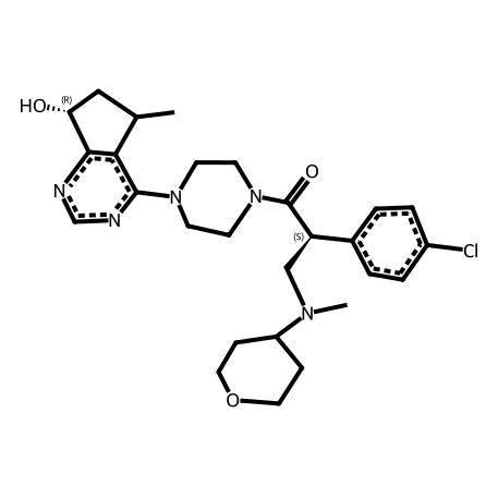 CC1C[C@@H](O)c2ncnc(N3CCN(C(=O)[C@H](CN(C)C4CCOCC4)c4ccc(Cl)cc4)CC3)c21